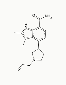 C=CCN1CCC(c2ccc(C(N)=O)c3[nH]c(C)c(C)c23)C1